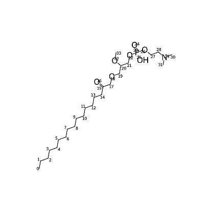 CCCCCCCCCCCCCCCC(=O)COCC(COP(=O)(O)OCCN(C)C)OC